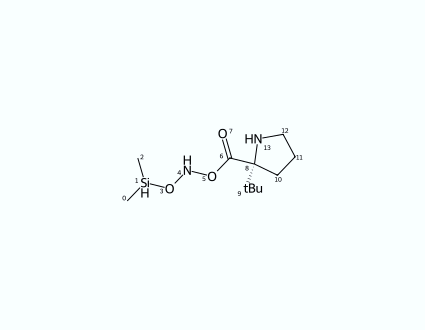 C[SiH](C)ONOC(=O)[C@]1(C(C)(C)C)CCCN1